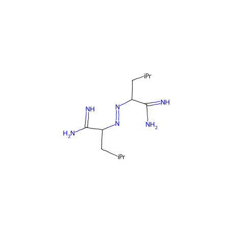 CC(C)CC(N=NC(CC(C)C)C(=N)N)C(=N)N